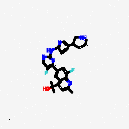 Cc1cc(C(C)(C)O)c2cc(-c3nc(Nc4ccc(C5CCCNC5)cn4)ncc3F)cc(F)c2n1